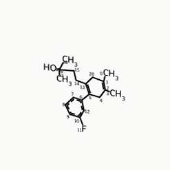 CC1=C(C)CC(c2cccc(F)c2)=C(CCC(C)(C)O)C1